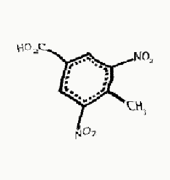 Cc1c([N+](=O)[O-])cc(C(=O)O)cc1[N+](=O)[O-]